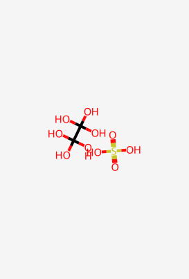 O=S(=O)(O)O.OC(O)(O)C(O)(O)O